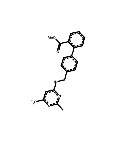 COC(=O)c1ccccc1-c1ccc(CNc2cc(C(F)(F)F)nc(C)n2)cc1